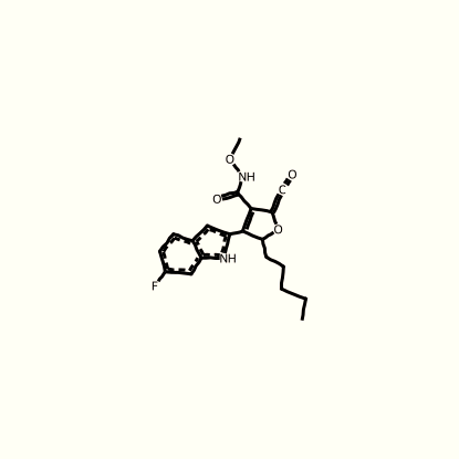 CCCCCC1OC(=C=O)C(C(=O)NOC)=C1c1cc2ccc(F)cc2[nH]1